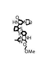 COCCOCC(Nc1ccc2c(c1)Sc1cccc(-c3cc(N4CCOCC4)cc(=O)[nH]3)c1S2)c1ncc(C)cn1